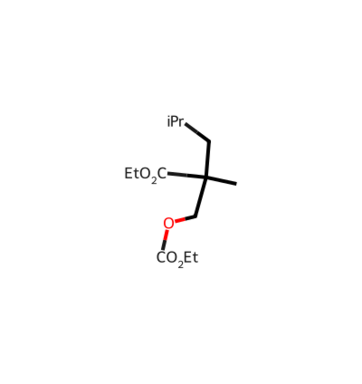 CCOC(=O)OCC(C)(CC(C)C)C(=O)OCC